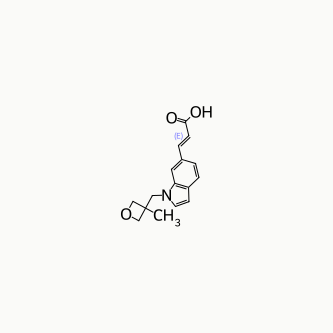 CC1(Cn2ccc3ccc(/C=C/C(=O)O)cc32)COC1